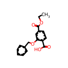 CCOC(=O)c1ccc(C(=O)O)c(OCc2ccccc2)c1